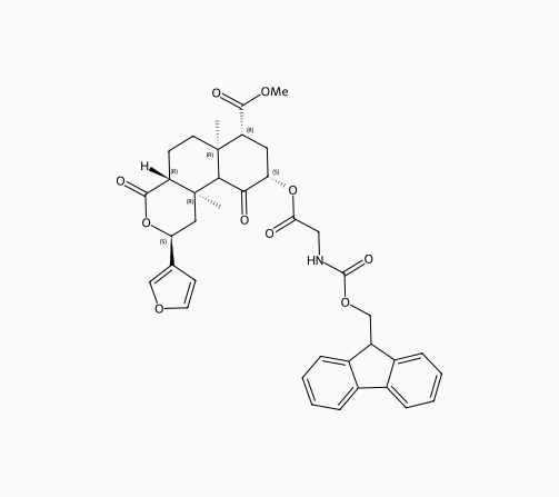 COC(=O)[C@@H]1C[C@H](OC(=O)CNC(=O)OCC2c3ccccc3-c3ccccc32)C(=O)C2[C@@]1(C)CC[C@H]1C(=O)O[C@H](c3ccoc3)C[C@]21C